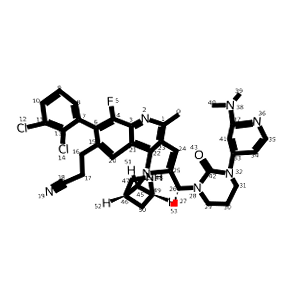 Cc1nc2c(F)c(-c3cccc(Cl)c3Cl)c(CCC#N)cc2c2c1cc([C@@H](C)N1CCCN(c3ccnc(N(C)C)c3)C1=O)n2[C@H]1[C@H]2CN[C@@H]1C2